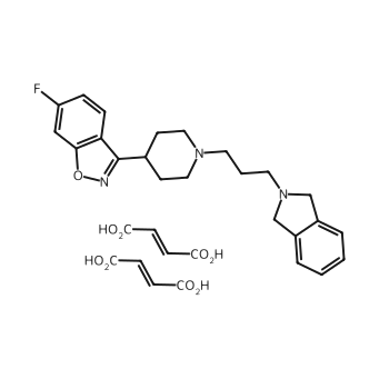 Fc1ccc2c(C3CCN(CCCN4Cc5ccccc5C4)CC3)noc2c1.O=C(O)C=CC(=O)O.O=C(O)C=CC(=O)O